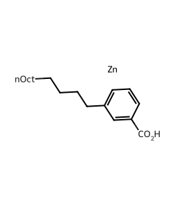 CCCCCCCCCCCCc1cccc(C(=O)O)c1.[Zn]